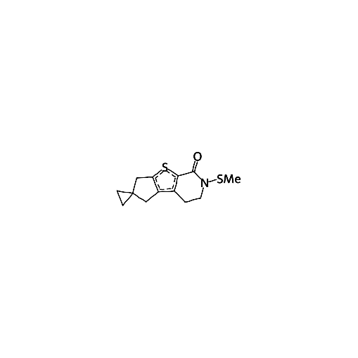 CSN1CCc2c(sc3c2CC2(CC2)C3)C1=O